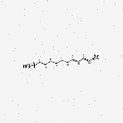 CCCCCCCCCCCCCCC=CC=CC(C)=O